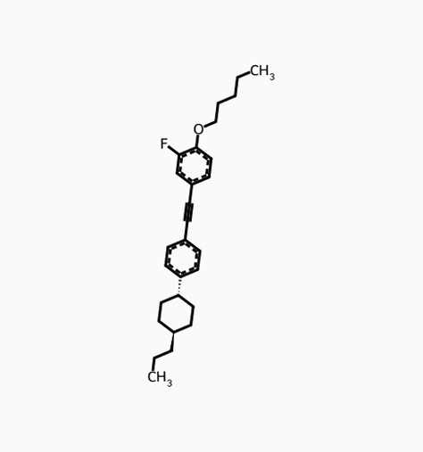 CCCCCOc1ccc(C#Cc2ccc([C@H]3CC[C@H](CCC)CC3)cc2)cc1F